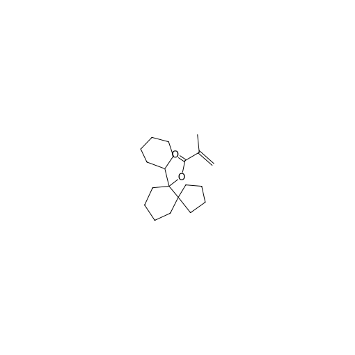 C=C(C)C(=O)OC1(C2CCCCC2)CCCCC12CCCC2